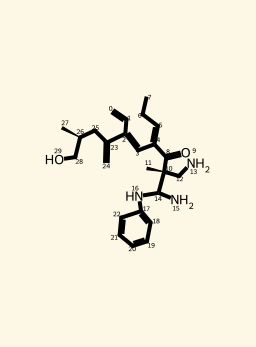 C=C/C(=C\C(=C/CC)C(=O)[C@](C)(CN)C(N)Nc1ccccc1)C(=C)C[C@H](C)CO